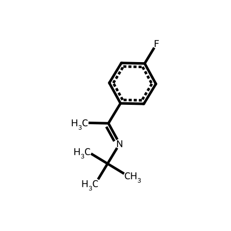 CC(=NC(C)(C)C)c1ccc(F)cc1